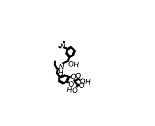 CCC(Cc1ccc2c(c1)OC(C(=O)O)(C(=O)O)O2)NCC(O)c1cccc(N(C)C)c1